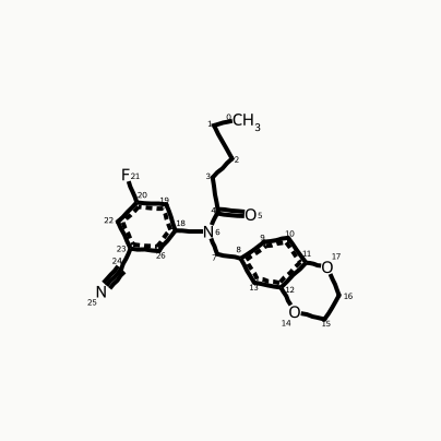 CCCCC(=O)N(Cc1ccc2c(c1)OCCO2)c1cc(F)cc(C#N)c1